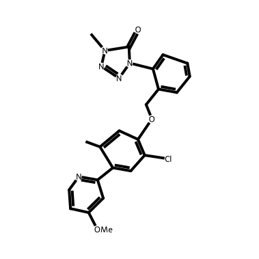 COc1ccnc(-c2cc(Cl)c(OCc3ccccc3-n3nnn(C)c3=O)cc2C)c1